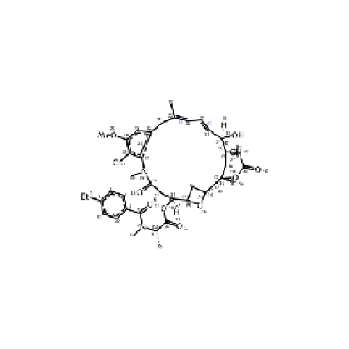 CCc1ccc(C(=O)N(C)[C@@H](C)C(=O)O[C@H]2CC(=O)N(C)c3cc(cc(OC)c3Cl)C/C(C)=C/C=C/[C@@H](O)[C@@]3(O)C[C@H](OC(=O)N3)[C@]3(C)C[C@@]2(C)O3)cc1